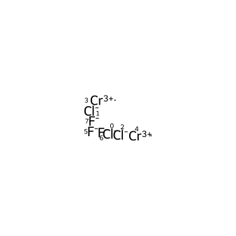 [Cl-].[Cl-].[Cl-].[Cr+3].[Cr+3].[F-].[F-].[F-]